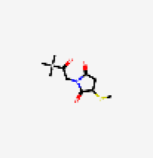 CSC1CC(=O)N(CC(=O)[B-](C)(C)C)C1=O